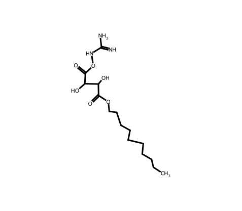 CCCCCCCCCCOC(=O)C(O)C(O)C(=O)ONC(=N)N